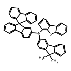 CC1(C)c2ccccc2-c2cc(N(c3ccc4c(c3)C3(c5ccccc5-c5ccccc53)c3ccccc3-4)c3cccc4c3sc3ccccc34)ccc21